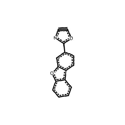 c1nc(-c2ccc3c(c2)oc2ccccc23)oc#1